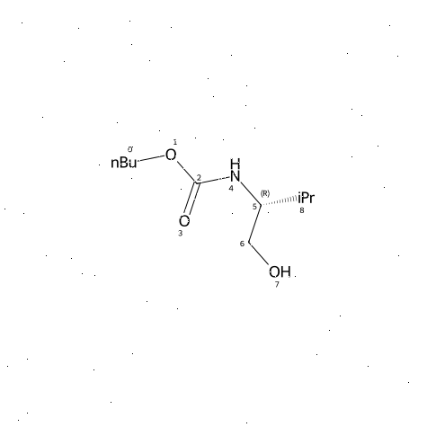 CCCCOC(=O)N[C@@H](CO)C(C)C